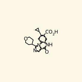 O=C(O)c1cc2[nH]c(=O)c3cnc(C4CCOCC4)n3c2cc1C1CC1